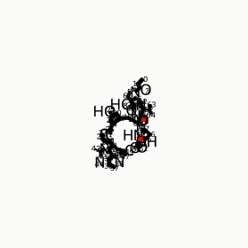 C=CC(=O)N1CC[C@](O)(C(=O)N(C)[C@H](C(=O)N[C@H]2Cc3cc(O)cc(c3)-c3ccc4c(c3)c(c(-c3cccnc3)n4[C@H](C)C#N)CC(C)(C)COC(=O)[C@@]3(O)CCCN(N3)C2=O)C(C)C)C1